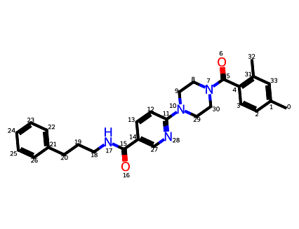 Cc1ccc(C(=O)N2CCN(c3ccc(C(=O)NCCCc4ccccc4)cn3)CC2)c(C)c1